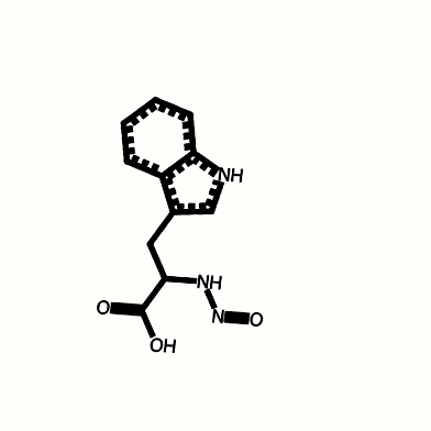 O=NNC(Cc1c[nH]c2ccccc12)C(=O)O